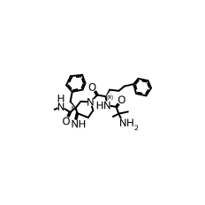 CNC(=O)[C@]1(Cc2ccccc2)CN(C(=O)[C@@H](CCCc2ccccc2)NC(=O)C(C)(C)N)CCC1=N